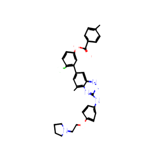 Cc1ccc(C(=O)Oc2ccc(Cl)c(-c3cc(C)c4nc(Nc5ccc(OCCN6CCCC6)cc5)nnc4c3)c2)cc1